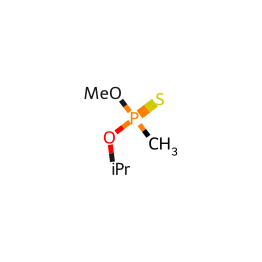 COP(C)(=S)OC(C)C